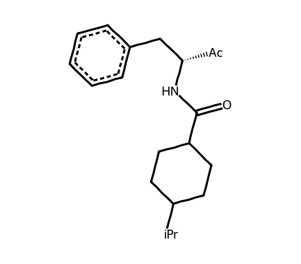 CC(=O)[C@@H](Cc1ccccc1)NC(=O)C1CCC(C(C)C)CC1